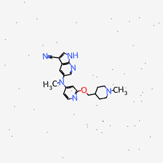 CN1CCC(COc2cc(N(C)c3cnc4[nH]cc(C#N)c4c3)ccn2)CC1